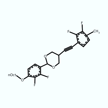 CCCCCCCCOc1ccc(C2OCC(C#Cc3ccc(C)c(F)c3F)CO2)c(F)c1F